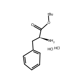 CC(C)(C)OC(=O)[C@@H](N)Cc1ccccc1.Cl.Cl